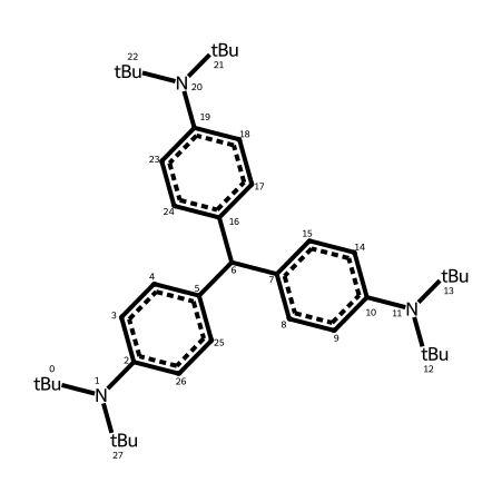 CC(C)(C)N(c1ccc(C(c2ccc(N(C(C)(C)C)C(C)(C)C)cc2)c2ccc(N(C(C)(C)C)C(C)(C)C)cc2)cc1)C(C)(C)C